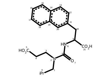 CC(C)CN(CCC(=O)O)C(=O)NC(Cc1ccc2ccccc2c1)C(=O)O